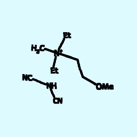 CC[N+](C)(CC)CCOC.N#CNC#N